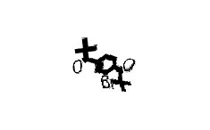 CC(C)(C)C(=O)c1ccc(C(=O)C(C)(C)C)c(Br)c1